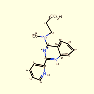 CCN(CCC(=O)O)c1nc(-c2ccccn2)nc2ccccc12